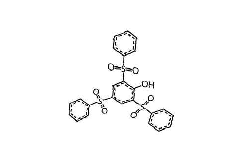 O=S(=O)(c1ccccc1)c1cc(S(=O)(=O)c2ccccc2)c(O)c(S(=O)(=O)c2ccccc2)c1